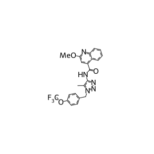 COc1cc(C(=O)Nc2nnn(Cc3ccc(OC(F)(F)F)cc3)c2C)c2ccccc2n1